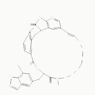 CN1CCOCCOC/C=C/c2cnc3c(c2)[C@]2(Cc4ccc(cc4C2)C(=O)NC(Cc2cc(Cl)c4[nH]ncc4c2)C1=O)C(=O)N3